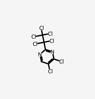 Clc1cnc(C(Cl)(Cl)C(Cl)(Cl)Cl)nc1Cl